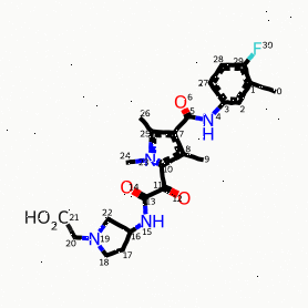 Cc1cc(NC(=O)c2c(C)c(C(=O)C(=O)NC3CCN(CC(=O)O)C3)n(C)c2C)ccc1F